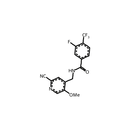 COc1cnc(C#N)cc1CNC(=O)c1ccc(C(F)(F)F)c(F)c1